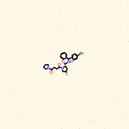 CC(C)c1ccc([C@@H](NC(=O)[C@@H]2C[C@@H](F)CN2C(=O)CCC(=O)N2CCCC2)c2ccccc2)cc1